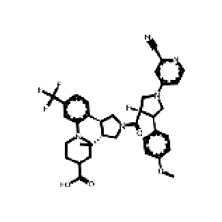 CC[C@H]1CN(C(=O)[C@]2(F)CN(c3ccnc(C#N)c3)C[C@H]2c2ccc(OC)cc2)C[C@@H]1c1ccc(C(F)(F)F)cc1N1CCC(C(=O)O)CC1